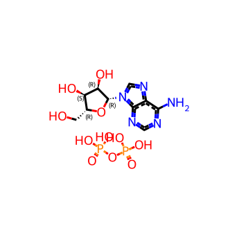 Nc1ncnc2c1ncn2[C@@H]1O[C@H](CO)[C@@H](O)[C@H]1O.O=P(O)(O)OP(=O)(O)O